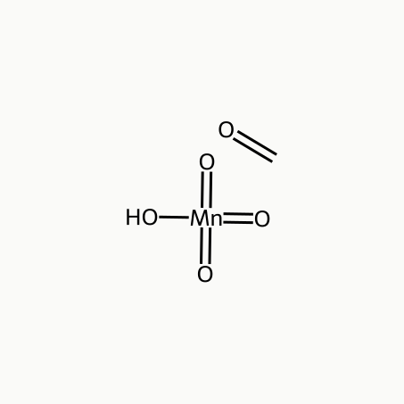 C=O.[O]=[Mn](=[O])(=[O])[OH]